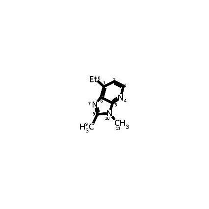 CCc1ccnc2c1nc(C)n2C